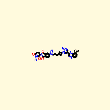 N#Cc1cccc2ncc(/C(C=N)=C/NC3CC(CCCNc4ccc5c(c4)C(=O)N(C4CCC(=O)NC4=O)C5=O)C3)nc12